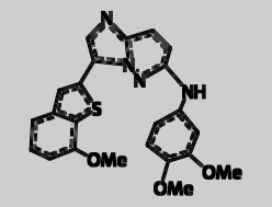 COc1ccc(Nc2ccc3ncc(-c4cc5cccc(OC)c5s4)n3n2)cc1OC